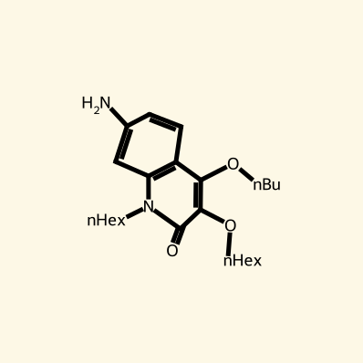 CCCCCCOc1c(OCCCC)c2ccc(N)cc2n(CCCCCC)c1=O